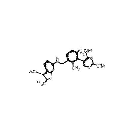 COc1ncc(-c2c(C)ccc(CNc3ccc4c(c3)OC(C)[C@H]4OC(C)=O)c2C)c(OC)n1